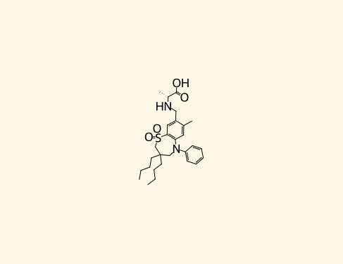 CCCCC1(CCCC)CN(c2ccccc2)c2cc(C)c(CN[C@H](C)C(=O)O)cc2S(=O)(=O)C1